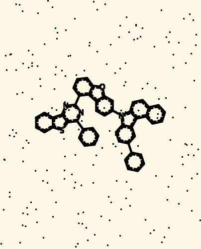 c1ccc(-c2ccc3c(c2)c2c4ccccc4ccc2n3-c2ccc3c(c2)oc2cccc(-c4nc(-c5ccccc5)c5sc6ccccc6c5n4)c23)cc1